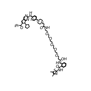 Cc1nc(NC(=O)c2ccccc2NC(O)CCOCCOCCOCCOCCOCCNC(=O)CN2CCN(c3ccc(Nc4ncc5c(n4)C(C4CCCC4)C(C(=O)C(C)C)=C5)nc3)CC2)sc1C